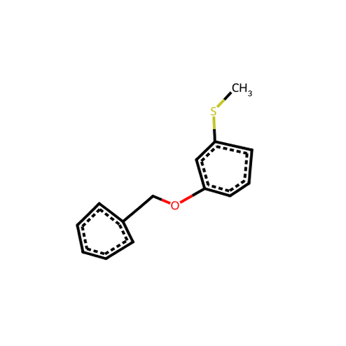 CSc1cccc(OCc2ccccc2)c1